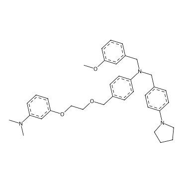 COc1cccc(CN(Cc2ccc(N3CCCC3)cc2)c2ccc(COCCOc3cccc(N(C)C)c3)cc2)c1